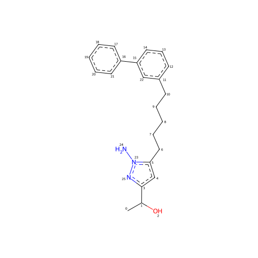 CC(O)c1cc(CCCCCc2cccc(-c3ccccc3)c2)n(N)n1